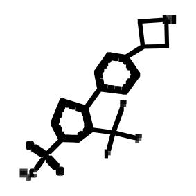 CS(=O)(=O)c1ccc(-c2ccc(C3CNC3)cc2)c(C(F)(F)F)c1